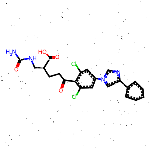 NC(=O)NC[C@H](CCC(=O)c1c(Cl)cc(-n2cnc(-c3ccccc3)c2)cc1Cl)C(=O)O